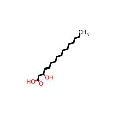 CCCCCCCCCCCC=CC(O)CC(=O)O